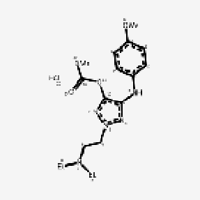 CCN(CC)CCn1nc(Nc2ccc(OC)cc2)c(OC(=O)OC)n1.Cl